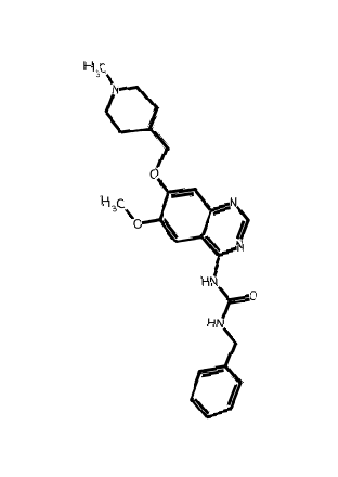 COc1cc2c(NC(=O)NCc3ccccc3)ncnc2cc1OCC1CCN(C)CC1